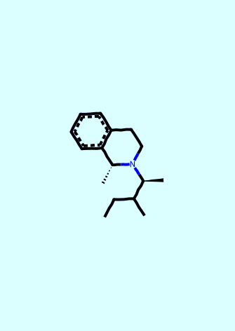 CCC(C)[C@H](C)N1CCc2ccccc2[C@H]1C